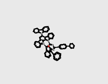 c1ccc(-c2ccc(-c3nc(-c4ccccc4)nc(-n4c5ccccc5c5c(-n6c7ccccc7c7ccccc76)cc6c7ccccc7n(-c7ccc(-c8ccccc8)cc7)c6c54)n3)cc2)cc1